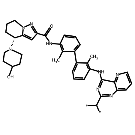 Cc1c(NC(=O)c2cc3n(n2)CCC[C@H]3N2CCC(O)CC2)cccc1-c1cccc(Nc2nc(C(F)F)nc3cccnc23)c1C